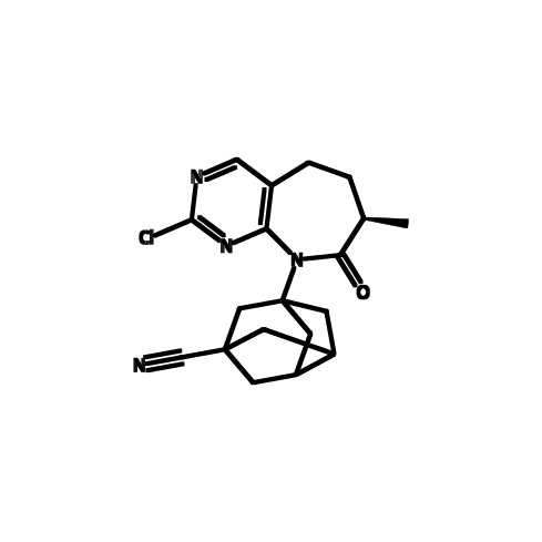 C[C@@H]1CCc2cnc(Cl)nc2N(C23CC4CC(C#N)(CC4C2)C3)C1=O